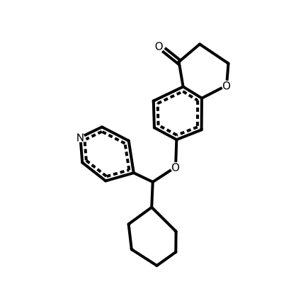 O=C1CCOc2cc(OC(c3ccncc3)C3CCCCC3)ccc21